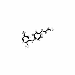 Clc1ccc(Br)cc1Cc1ccc(CCCBr)cc1